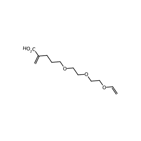 C=COCCOCCOCCCC(=C)C(=O)O